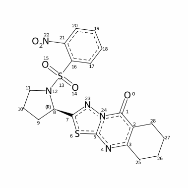 O=c1c2c(nc3sc([C@H]4CCCN4S(=O)(=O)c4ccccc4[N+](=O)[O-])nn13)CCCC2